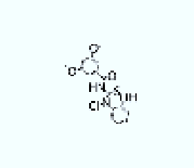 COc1cc(OC)cc(C(=O)NC(=S)N(Cl)c2ccccc2O)c1